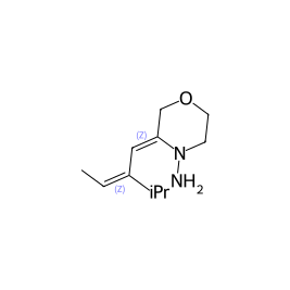 C/C=C(\C=C1\COCCN1N)C(C)C